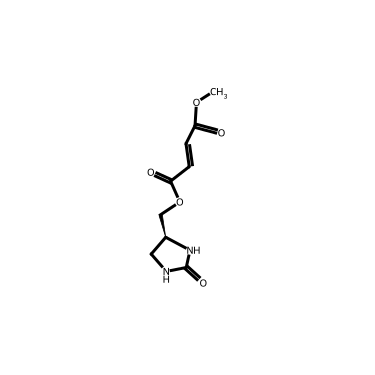 COC(=O)/C=C/C(=O)OC[C@@H]1CNC(=O)N1